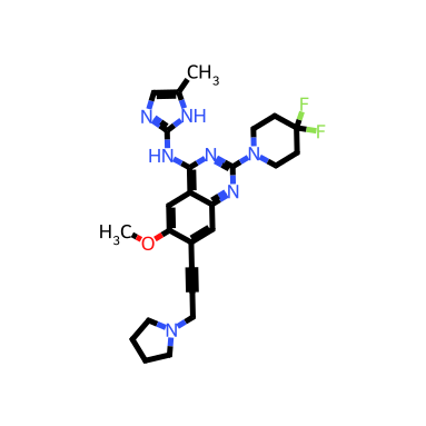 COc1cc2c(Nc3ncc(C)[nH]3)nc(N3CCC(F)(F)CC3)nc2cc1C#CCN1CCCC1